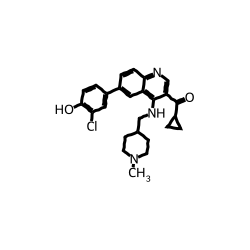 CN1CCC(CNc2c(C(=O)C3CC3)cnc3ccc(-c4ccc(O)c(Cl)c4)cc23)CC1